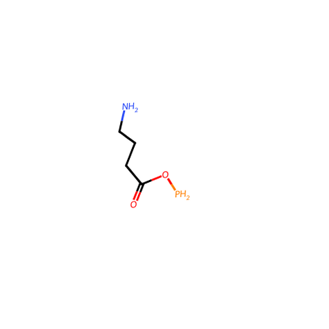 NCCCC(=O)OP